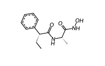 CC[C@@H](C(=O)N[C@@H](C)C(=O)NO)c1ccccc1